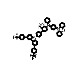 FC(F)(F)c1ccc(-c2ccc3c(c2)c2cc(-c4ccc(C(F)(F)F)cc4)ccc2n3-c2ccc(-c3ccc(N(c4ccccc4)c4ccc(N5c6ccccc6Oc6ccccc65)cc4)c4nsnc34)cc2)cc1